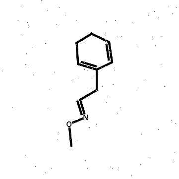 CO/N=C/CC1=CC[CH]C=C1